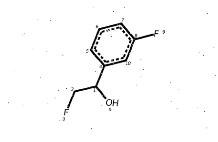 OC(CF)c1cccc(F)c1